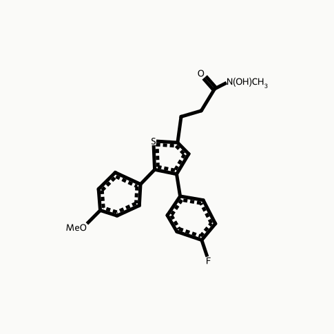 COc1ccc(-c2sc(CCC(=O)N(C)O)cc2-c2ccc(F)cc2)cc1